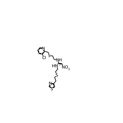 O=[N+]([O-])/C=C(\NCCSCCc1cscn1)NCCSCc1ncccc1Cl